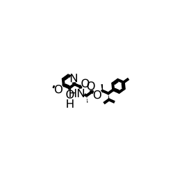 COc1ccnc(C(=O)N[C@@H](C)C(=O)O[C@@H](C)[C@H](c2ccc(C)cc2)C(C)C)c1O